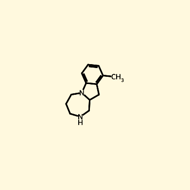 Cc1cccc2c1CC1CNCCCN21